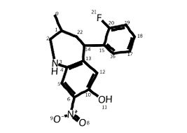 CC1CNc2cc([N+](=O)[O-])c(O)cc2C(c2ccccc2F)C1